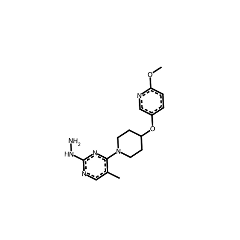 COc1ccc(OC2CCN(c3nc(NN)ncc3C)CC2)cn1